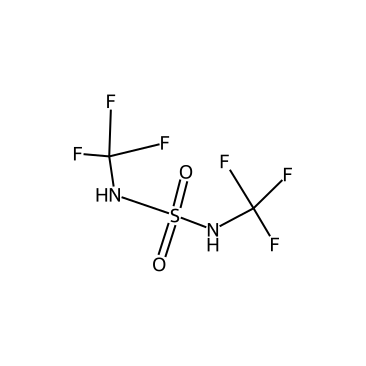 O=S(=O)(NC(F)(F)F)NC(F)(F)F